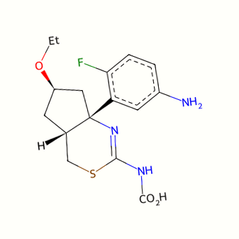 CCO[C@@H]1C[C@H]2CSC(NC(=O)O)=N[C@@]2(c2cc(N)ccc2F)C1